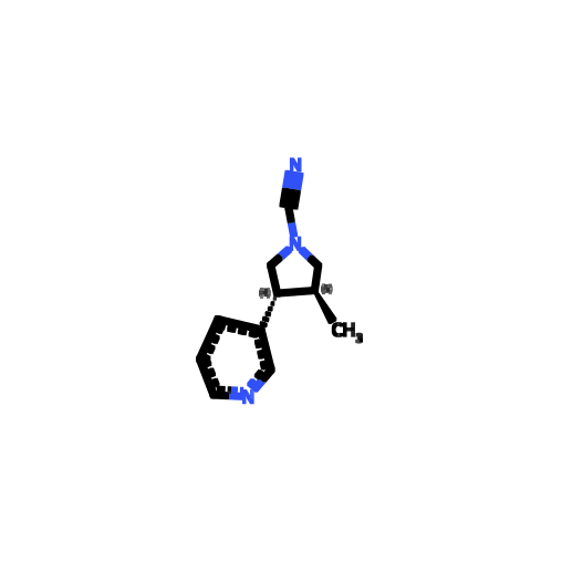 C[C@@H]1CN(C#N)C[C@H]1c1cccnc1